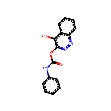 O=C(Nc1ccccc1)Oc1nnc2ccccc2c1O